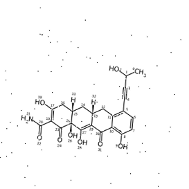 CC(O)C#Cc1ccc(O)c2c1C[C@H]1C[C@H]3CC(O)=C(C(N)=O)C(=O)[C@@]3(O)C(O)=C1C2=O